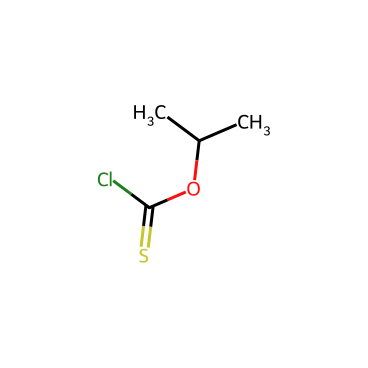 CC(C)OC(=S)Cl